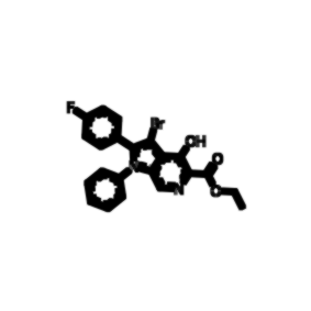 CCOC(=O)c1ncc2c(c1O)c(Br)c(-c1ccc(F)cc1)n2-c1ccccc1